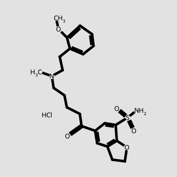 COc1ccccc1CCN(C)CCCCC(=O)c1cc2c(c(S(N)(=O)=O)c1)OCC2.Cl